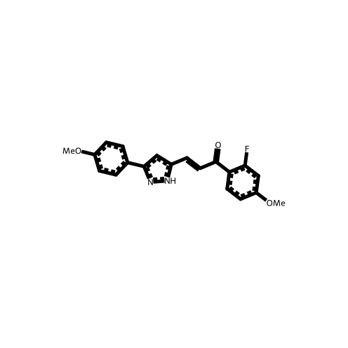 COc1ccc(-c2cc(C=CC(=O)c3ccc(OC)cc3F)[nH]n2)cc1